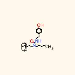 CCCCCN(CCC12CC3CC(CC(C3)C1)C2)C(=O)NCCc1ccc(O)cc1